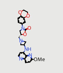 COc1ccc2nccc(NC3CN(C[C@@H]4CN(c5ccc6c(c5)OCCO6)C(=O)O4)C3)c2n1